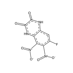 O=c1[nH]c2cc(F)c([N+](=O)[O-])c([N+](=O)[O-])c2[nH]c1=O